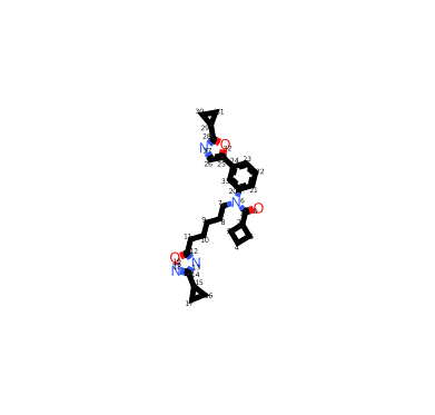 O=C(C1CCC1)N(CCCCCc1nc(C2CC2)no1)c1cccc(-c2cnc(C3CC3)o2)c1